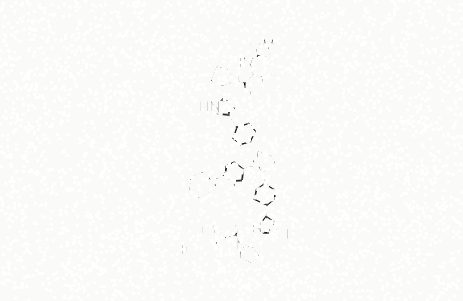 COC(=O)N[C@H](C(=O)N1CCC[C@H]1c1nc(-c2ccc([C@@H]3CC[C@@H](c4ccc(-c5c[nH]c([C@@H]6CCCN6C(=O)[C@@H](NC(=O)O)C(C)C)n5)cc4)N3c3ccc(N4CCCCC4)nc3)cc2)c[nH]1)C(C)C